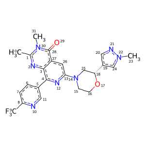 Cc1nc2c(-c3ccc(C(F)(F)F)nc3)nc(N3CCO[C@@H](c4cnn(C)c4)C3)cc2c(=O)n1C